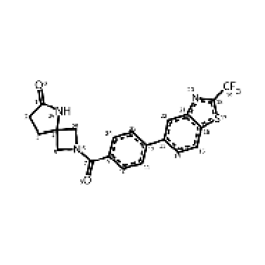 O=C1CCC2(CN(C(=O)c3ccc(-c4ccc5sc(C(F)(F)F)nc5c4)cc3)C2)N1